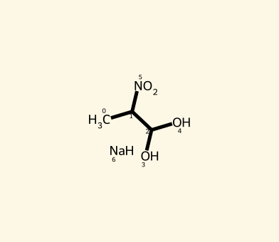 CC(C(O)O)[N+](=O)[O-].[NaH]